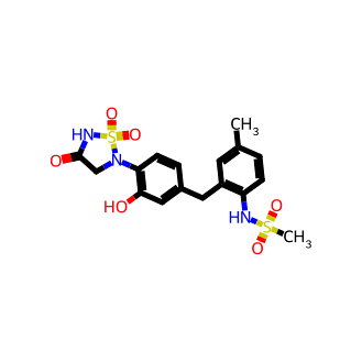 Cc1ccc(NS(C)(=O)=O)c(Cc2ccc(N3CC(=O)NS3(=O)=O)c(O)c2)c1